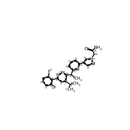 CC(C)c1cc(-c2c(F)cccc2F)nnc1C(C)c1cccc(-c2cnn(CC(N)=O)c2)n1